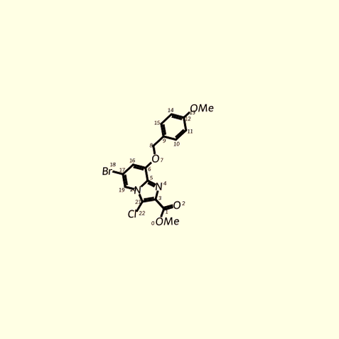 COC(=O)c1nc2c(OCc3ccc(OC)cc3)cc(Br)cn2c1Cl